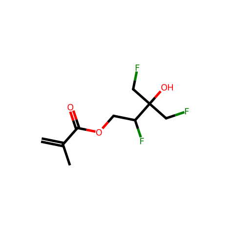 C=C(C)C(=O)OCC(F)C(O)(CF)CF